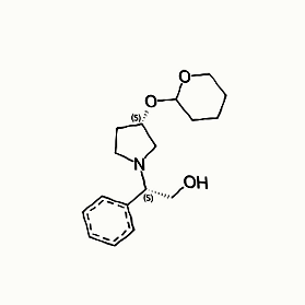 OC[C@H](c1ccccc1)N1CC[C@H](OC2CCCCO2)C1